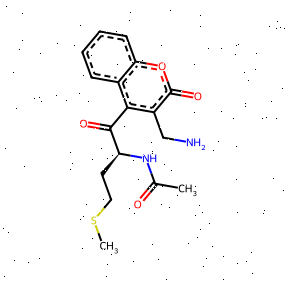 CSCC[C@H](NC(C)=O)C(=O)c1c(CN)c(=O)oc2ccccc12